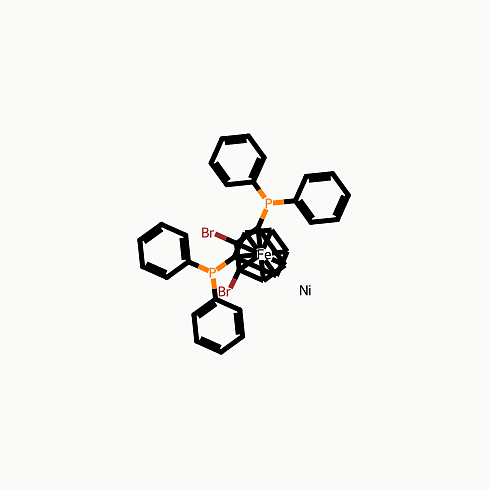 Br[C]12[CH]3[CH]4[C]5(P(c6ccccc6)c6ccccc6)[C]1(Br)[Fe]34251678[CH]2[CH]1[CH]6[C]7(P(c1ccccc1)c1ccccc1)[CH]28.[Ni]